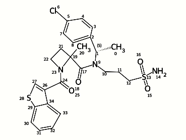 C[C@@H](c1ccc(Cl)cc1)N(CCCS(N)(=O)=O)C(=O)C1(C)CCN1C(=O)c1csc2ccccc12